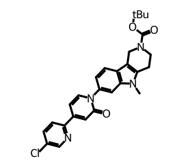 Cn1c2c(c3ccc(-n4ccc(-c5ccc(Cl)cn5)cc4=O)cc31)CN(C(=O)OC(C)(C)C)CC2